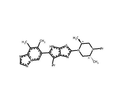 Cc1c(-c2[nH]c3sc(N4C[C@@H](C)N(C(C)C)C[C@@H]4C)nc3c2C(C)C)cn2ncnc2c1C